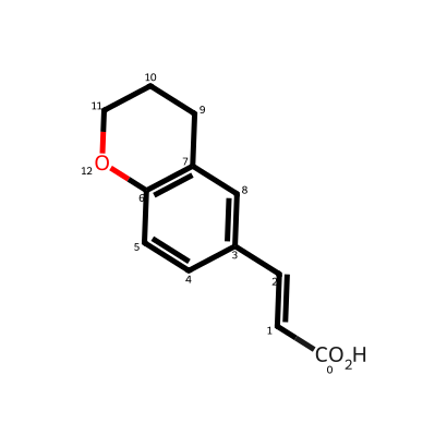 O=C(O)C=Cc1ccc2c(c1)CCCO2